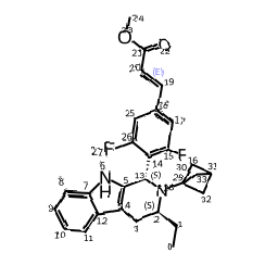 CC[C@H]1Cc2c([nH]c3ccccc23)[C@H](c2c(F)cc(/C=C/C(=O)OC)cc2F)N1C12CC(C1)C2